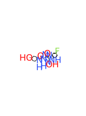 O=C(Nc1nonc1/C(=N/O)Nc1ccc(F)cc1)NC1CCC(O)CC1